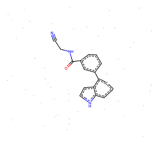 N#CCNC(=O)c1cccc(-c2cccc3[nH]ccc23)c1